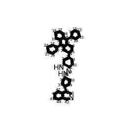 N=C1C=C(c2ccc3c(-c4ccccc4)c4ccccc4c(-c4ccccc4)c3c2)C=C/C1=N/Nc1ccc(-c2cncc3ccccc23)cc1